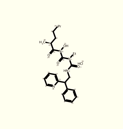 CCN(C(=O)NCC(c1ccccc1)c1ccccn1)C(=O)N(O)C(=O)[C@@H](C)CCC(C)C.Cl